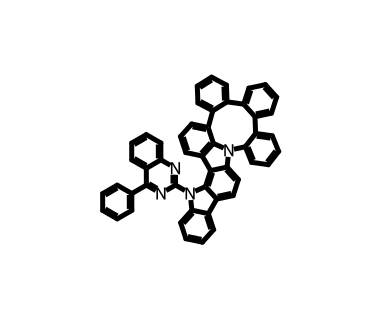 c1ccc(-c2nc(-n3c4ccccc4c4ccc5c(c6cccc7c8ccccc8c8ccccc8c8ccccc8n5c76)c43)nc3ccccc23)cc1